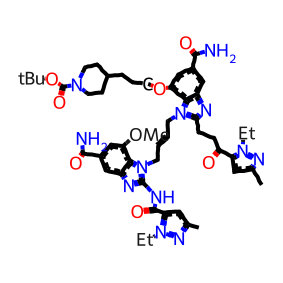 CCn1nc(C)cc1C(=O)CCc1nc2cc(C(N)=O)cc(OCCCC3CCN(C(=O)OC(C)(C)C)CC3)c2n1C/C=C/Cn1c(NC(=O)c2cc(C)nn2CC)nc2cc(C(N)=O)cc(OC)c21